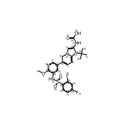 COc1ncc(C2=CC=C3N(C=C(NC(=O)O)N3C(C)(C)C)C2)cc1NS(=O)(=O)c1ccc(F)cc1F